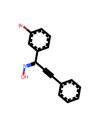 ON=C(C#Cc1ccccc1)c1cccc(Br)c1